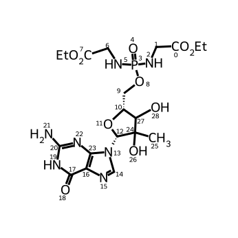 CCOC(=O)CNP(=O)(NCC(=O)OCC)OC[C@H]1O[C@@H](n2cnc3c(=O)[nH]c(N)nc32)C(C)(O)C1O